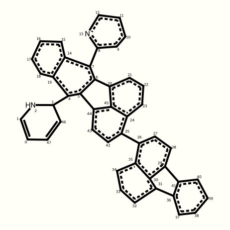 C1=CNC(c2c3c(c(-c4ccccn4)c4ccccc24)-c2cccc4c(-c5ccc6c7c(cccc57)-c5ccccc5-6)ccc-3c24)C=C1